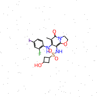 Cc1c(Nc2ccc(I)cc2F)c(NS(=O)(=O)C2CC(O)C2)c2n(c1=O)CCO2